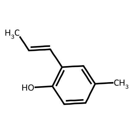 C/C=C/c1cc(C)ccc1O